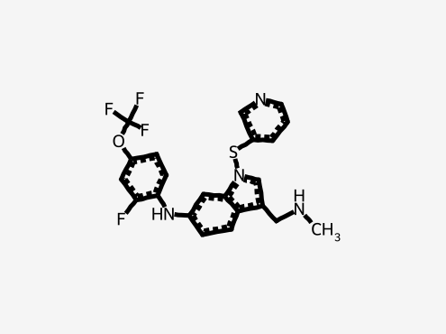 CNCc1cn(Sc2cccnc2)c2cc(Nc3ccc(OC(F)(F)F)cc3F)ccc12